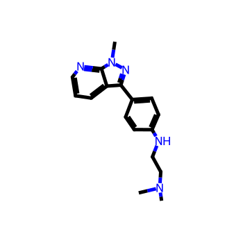 CN(C)CCNc1ccc(-c2nn(C)c3ncccc23)cc1